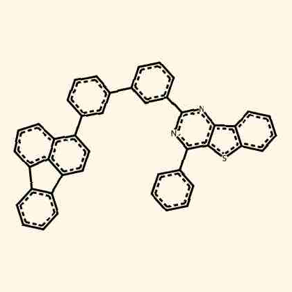 c1ccc(-c2nc(-c3cccc(-c4cccc(-c5ccc6c7c(cccc57)-c5ccccc5-6)c4)c3)nc3c2sc2ccccc23)cc1